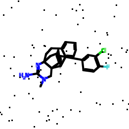 CN1CC23Cc4ccccc4CCC2(Cc2ccc(-c4ccc(F)c(Cl)c4)cc23)N=C1N